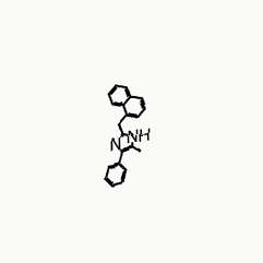 Cc1[nH]c(Cc2cccc3ccccc23)nc1-c1ccccc1